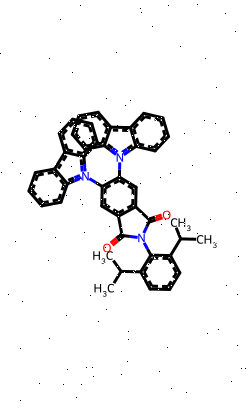 CC(C)c1cccc(C(C)C)c1N1C(=O)c2cc(-n3c4ccccc4c4ccccc43)c(-n3c4ccccc4c4ccccc43)cc2C1=O